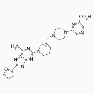 Nc1nc(N2CCC[C@@H](CN3CCN(c4cncc(C(=O)O)n4)CC3)C2)nc2nc(-c3ccco3)nn12